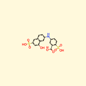 O=C(O)c1cc(Nc2ccc3cc(S(=O)(=O)O)cc(O)c3c2)ccc1S(=O)(=O)O